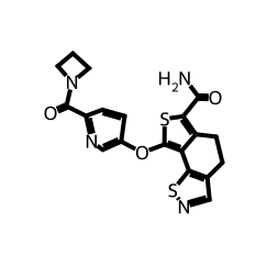 NC(=O)c1sc(Oc2ccc(C(=O)N3CCC3)nc2)c2c1CCc1cnsc1-2